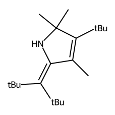 CC1=C(C(C)(C)C)C(C)(C)NC1=C(C(C)(C)C)C(C)(C)C